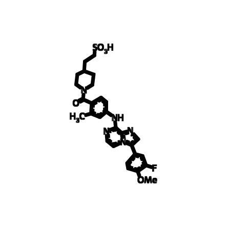 COc1ccc(-c2cnc3c(Nc4ccc(C(=O)N5CCC(CCS(=O)(=O)O)CC5)c(C)c4)nccn23)cc1F